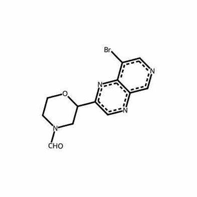 O=CN1CCOC(c2cnc3cncc(Br)c3n2)C1